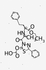 CCOC(=O)[C@H](CCc1ccccc1)N[C@@H](C)C(=O)N1N=C(c2ccccc2)S[C@@H]1OC(=O)O